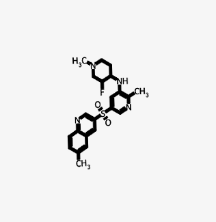 Cc1ccc2ncc(S(=O)(=O)c3cnc(C)c(NC4CCN(C)CC4F)c3)cc2c1